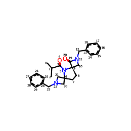 CC(C)C(=O)N1C2(CC[C@@]13CN(Cc1ccccc1)C3=O)CN(Cc1ccccc1)C2